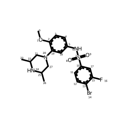 COc1ccc(NS(=O)(=O)c2ccc(Br)c(F)c2)cc1N1CC(C)NC(C)C1